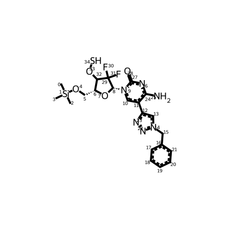 C[Si](C)(C)OC[C@H]1O[C@@H](n2cc(-c3cn(Cc4ccccc4)nn3)c(N)nc2=O)C(F)(F)C1OS